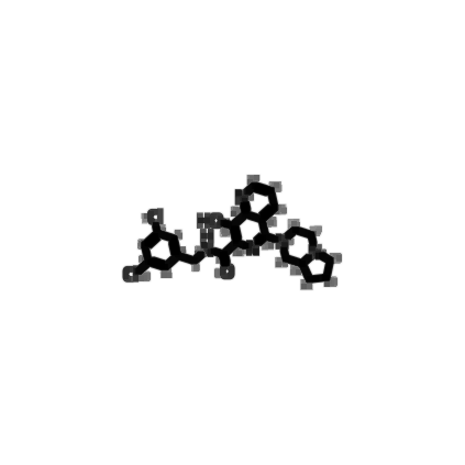 O=C(NCc1cc(Cl)cc(Cl)c1)c1nc(N2CCN3CCCC3C2)c2cccnc2c1O